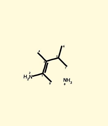 CC(N)=C(C)C(C)C.N